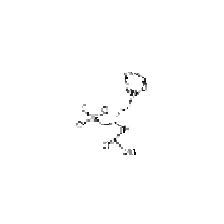 O=C(O)N[C@@H](CCc1ccccc1)CS(=O)(=O)Cl